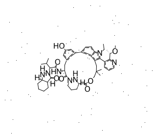 CCn1c(-c2cccnc2[C@H](C)OC)c2c3cc(ccc31)-c1cc(O)cc(c1)C[C@H](NC(=O)C(C(C)C)N1N[C@H]3CCCC[C@@H]3C1=O)C(=O)N1CCC[C@H](N1)C(=O)OCC(C)(C)C2